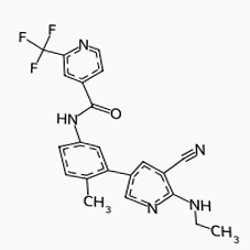 CCNc1ncc(-c2cc(NC(=O)c3ccnc(C(F)(F)F)c3)ccc2C)cc1C#N